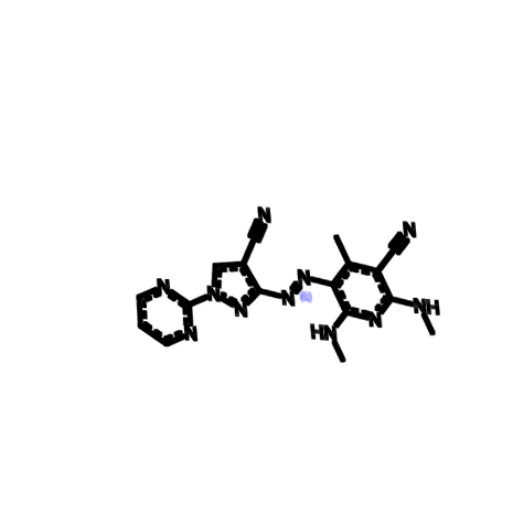 CNc1nc(NC)c(/N=N/c2nn(-c3ncccn3)cc2C#N)c(C)c1C#N